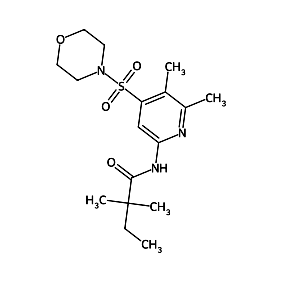 CCC(C)(C)C(=O)Nc1cc(S(=O)(=O)N2CCOCC2)c(C)c(C)n1